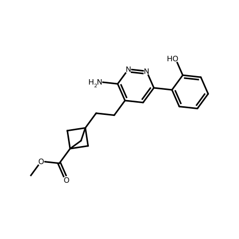 COC(=O)C12CC(CCc3cc(-c4ccccc4O)nnc3N)(C1)C2